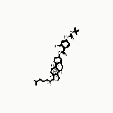 CC(C)CCC[C@@H](C)[C@H]1CC[C@H]2[C@@H]3CCC4CC(NC(=O)c5ccc(NC(=O)OC(C)(C)C)cc5O)CC[C@]4(C)[C@H]3CC[C@]12C